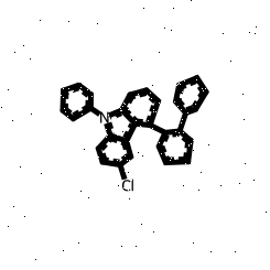 Clc1ccc2c(c1)c1c(-c3ccccc3-c3ccccc3)cccc1n2-c1ccccc1